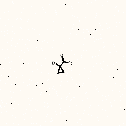 CCC(=O)C1(CC)CC1